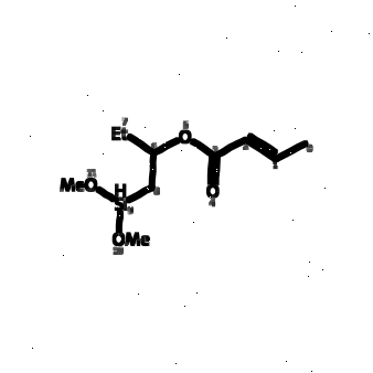 CC=CC(=O)OC(CC)C[SiH](OC)OC